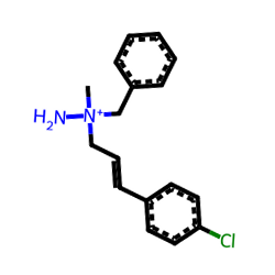 C[N+](N)(CC=Cc1ccc(Cl)cc1)Cc1ccccc1